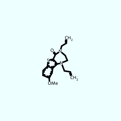 C=CCN1CCN(CC=C)c2c(sc3ccc(OC)cc23)C1=O